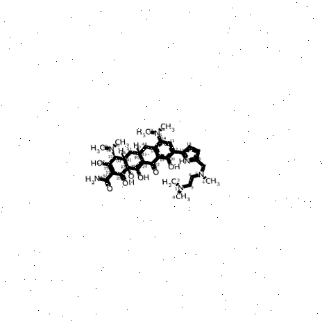 CN(C)CCN(C)Cc1ccc(-c2cc(N(C)C)c3c(c2O)C(=O)C2=C(O)[C@]4(O)C(=O)C(C(N)=O)=C(O)[C@@H](N(C)C)[C@@H]4C[C@@H]2C3)[nH]1